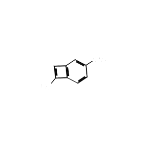 COc1ccc2c(c1)C=C2O